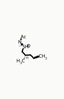 C=CC[C@H](C)C/[SH](=O)=N/C(C)=O